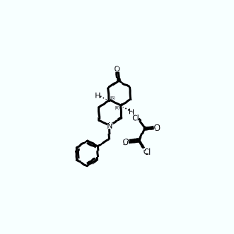 O=C(Cl)C(=O)Cl.O=C1CC[C@H]2CN(Cc3ccccc3)CC[C@H]2C1